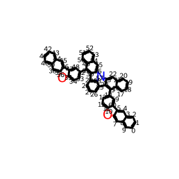 c1ccc2cc3c(cc2c1)oc1ccc(-c2c4ccccc4cc4c2c2cccc5c6c(-c7ccc8oc9cc%10ccccc%10cc9c8c7)c7ccccc7cc6n4c25)cc13